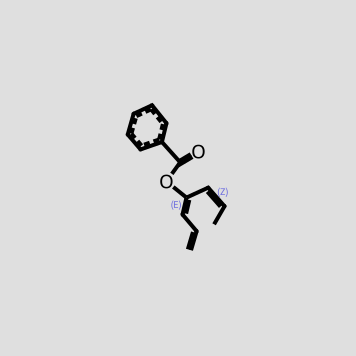 C=C/C=C(\C=C/C)OC(=O)c1ccccc1